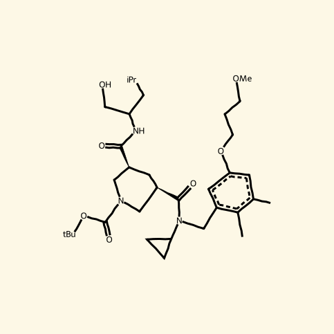 COCCCOc1cc(C)c(C)c(CN(C(=O)[C@@H]2C[C@H](C(=O)NC(CO)CC(C)C)CN(C(=O)OC(C)(C)C)C2)C2CC2)c1